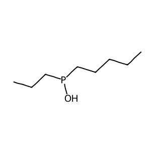 CCCCCP(O)CCC